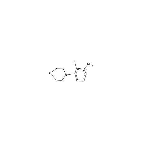 Nc1cccc(N2CCOCC2)c1F